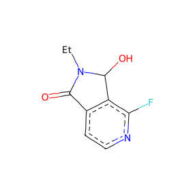 CCN1C(=O)c2ccnc(F)c2C1O